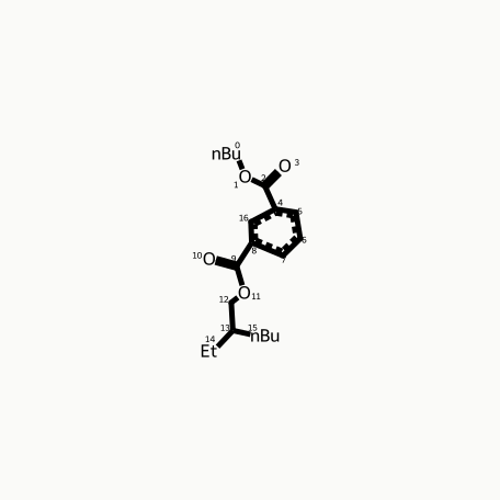 CCCCOC(=O)c1cccc(C(=O)OCC(CC)CCCC)c1